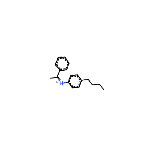 CCCCc1ccc(/N=C(/C)c2ccccc2)cc1